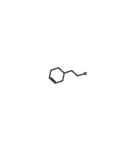 ClCCC1CC=CCC1